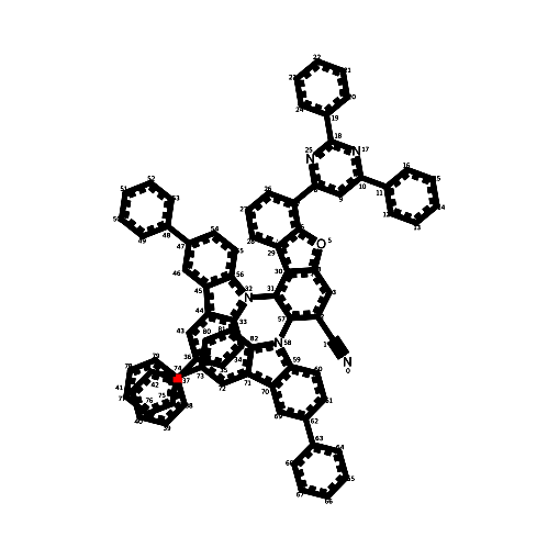 N#Cc1cc2oc3c(-c4cc(-c5ccccc5)nc(-c5ccccc5)n4)cccc3c2c(-n2c3ccc(-c4ccccc4)cc3c3cc(-c4ccccc4)ccc32)c1-n1c2ccc(-c3ccccc3)cc2c2cc(-c3ccccc3)ccc21